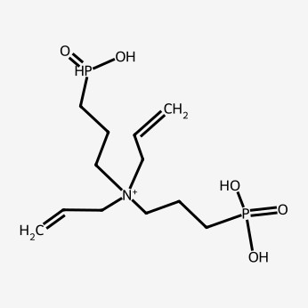 C=CC[N+](CC=C)(CCC[PH](=O)O)CCCP(=O)(O)O